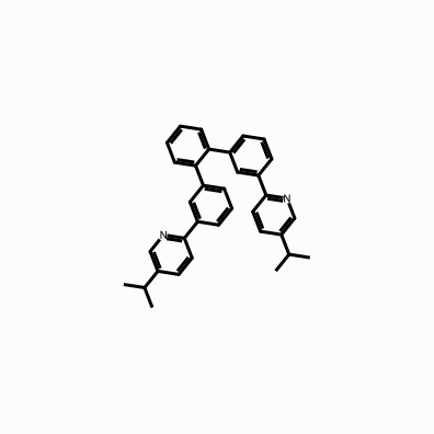 CC(C)c1ccc(-c2cccc(-c3ccccc3-c3cccc(-c4ccc(C(C)C)cn4)c3)c2)nc1